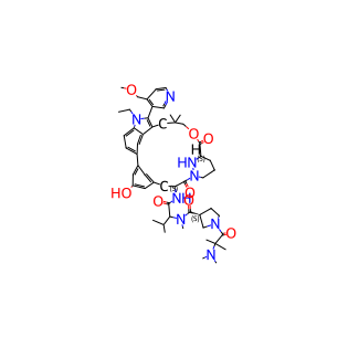 CCn1c(-c2cnccc2COC)c2c3cc(ccc31)-c1cc(O)cc(c1)C[C@H](NC(=O)C(C(C)C)N(C)C(=O)[C@H]1CCN(C(=O)C(C)(C)N(C)C)C1)C(=O)N1CCC[C@H](N1)C(=O)OCC(C)(C)C2